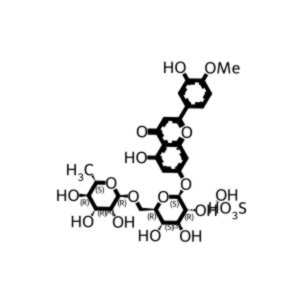 COc1ccc(-c2cc(=O)c3c(O)cc(O[C@@H]4O[C@H](CO[C@@H]5O[C@@H](C)[C@H](O)[C@@H](O)[C@H]5O)[C@@H](O)[C@H](O)[C@H]4O)cc3o2)cc1O.O=S(=O)(O)O